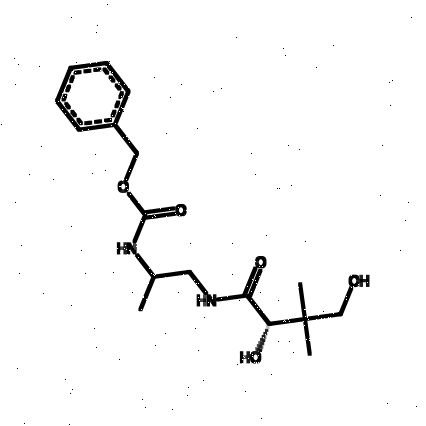 CC(CNC(=O)[C@@H](O)C(C)(C)CO)NC(=O)OCc1ccccc1